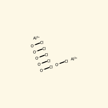 [Al+3].[Al+3].[O-]Cl.[O-]Cl.[O-]Cl.[O-]Cl.[O-]Cl.[O-]Cl